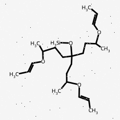 CC=COC(C)CCC(CCC(C)OC=CC)(CCC(C)OC=CC)O[SiH3]